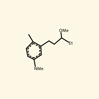 CCC(CCc1cc(NC)ccc1C)OC